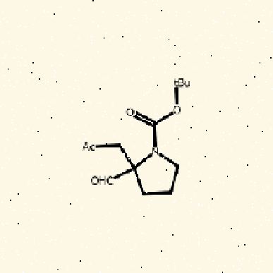 CC(=O)CC1(C=O)CCCN1C(=O)OC(C)(C)C